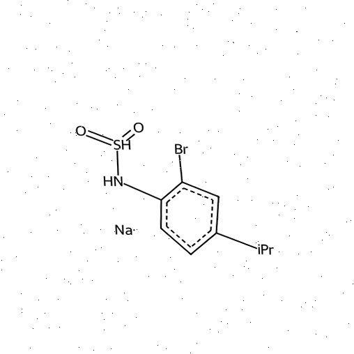 CC(C)c1ccc(N[SH](=O)=O)c(Br)c1.[Na]